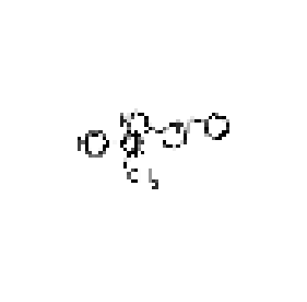 CCc1nn2c(C3CCCN(Cc4ccccc4)C3)ccnc2c1-c1ccncc1